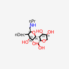 CCCCCCCCCCC1[C@@H](CNCCC)O[C@H](C2[C@@H](CO)OC[C@H](O)[C@H]2O)[C@H](O)[C@H]1O